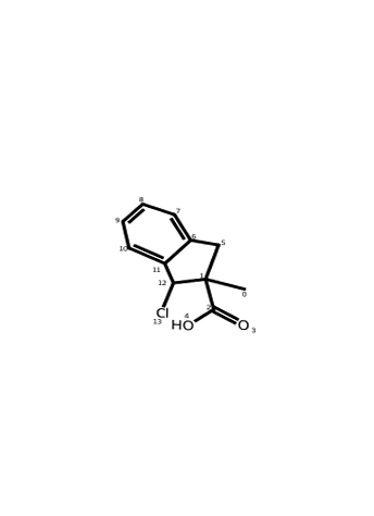 CC1(C(=O)O)Cc2ccccc2C1Cl